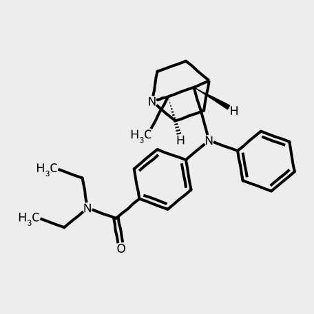 CCN(CC)C(=O)c1ccc(N(c2ccccc2)[C@H]2C3CCN(CC3)[C@@H]2C)cc1